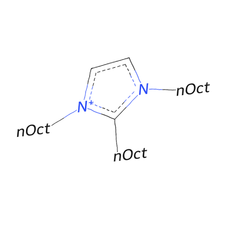 CCCCCCCCc1n(CCCCCCCC)cc[n+]1CCCCCCCC